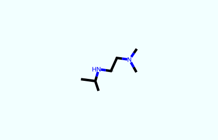 CC(C)N[CH]CN(C)C